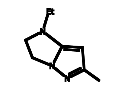 CCN1CCn2nc(C)cc21